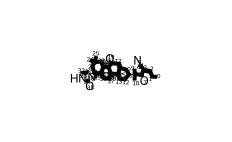 CC/C=C(/C#N)C(=O)C(C)(C)[C@@H]1CC[C@]2(C)C(=CC(=O)[C@@H]3[C@@H]4CC(C)(C)CC[C@]4(CN4CCNC4=O)CC[C@]32C)C1